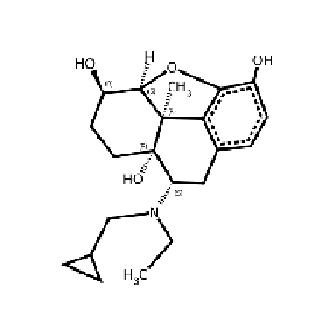 CCN(CC1CC1)[C@H]1Cc2ccc(O)c3c2[C@]2(C)[C@H](O3)[C@H](O)CC[C@]12O